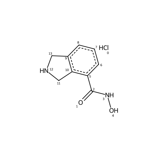 Cl.O=C(NO)c1cccc2c1CNC2